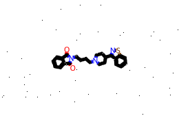 O=C1c2ccccc2C(=O)N1CCCCN1CCC(c2nsc3ccccc23)CC1